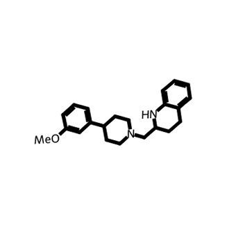 COc1cccc(C2CCN(CC3CCc4ccccc4N3)CC2)c1